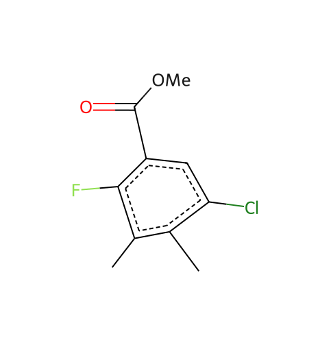 COC(=O)c1cc(Cl)c(C)c(C)c1F